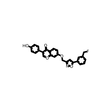 O=c1c(-c2ccc(O)cc2)coc2cc(OCc3cc(-c4cccc(CF)c4)on3)ccc12